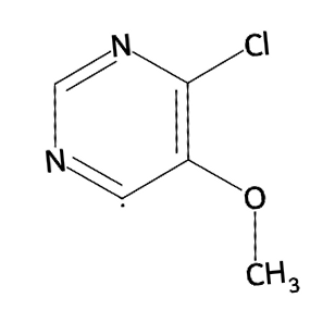 COc1[c]ncnc1Cl